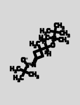 [2H]C([2H])(O[Si](C)(C)C(C)(C)C)C1(C)CC(=N[S+]([O-])C(C)(C)C)C1